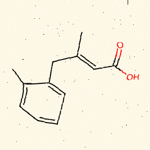 CC(=CC(=O)O)Cc1ccccc1C